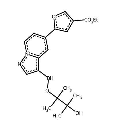 CCOC(=O)c1coc(-c2ccn3ncc(BOC(C)(C)C(C)(C)O)c3c2)c1